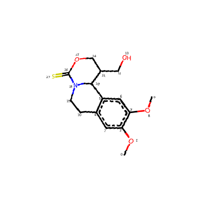 COc1cc2c(cc1OC)C1C(CO)COC(=S)N1CC2